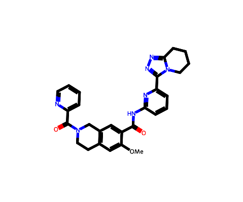 COc1cc2c(cc1C(=O)Nc1cccc(-c3nnc4n3CCCC4)n1)CN(C(=O)c1ccccn1)CC2